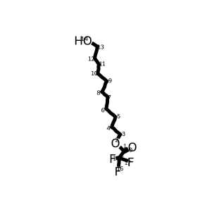 O=C(OCCCCCCCCCCCO)C(F)(F)F